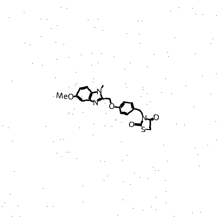 COc1ccc2c(c1)nc(COc1ccc(CN3C(=O)CSC3=O)cc1)n2C